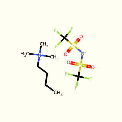 CCCC[N+](C)(C)C.O=S(=O)([N-]S(=O)(=O)C(F)(F)F)C(F)(F)F